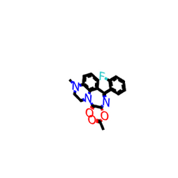 CC(=O)OC1N=C(c2ccccc2F)c2cccc3c2N(CCN3C)C1=O